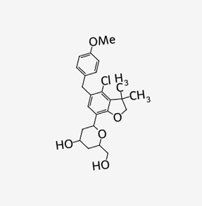 COc1ccc(Cc2cc(C3CC(O)CC(CO)O3)c3c(c2Cl)C(C)(C)CO3)cc1